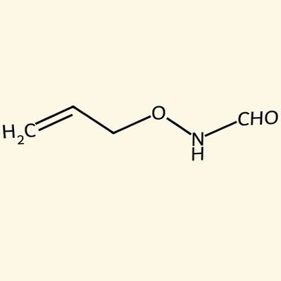 C=CCONC=O